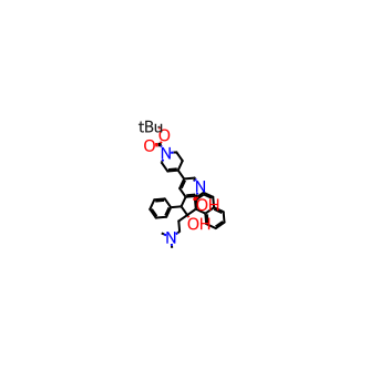 CN(C)CCC(O)(C1=C=C=Cc2ccccc21)C(c1ccccc1)c1cc(C2=CCN(C(=O)OC(C)(C)C)CC2)cnc1O